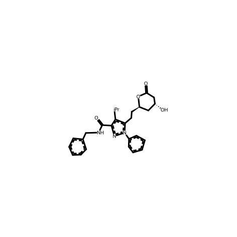 CC(C)c1c(C(=O)NCc2ccccc2)nn(-c2ccccc2)c1CC[C@@H]1C[C@@H](O)CC(=O)O1